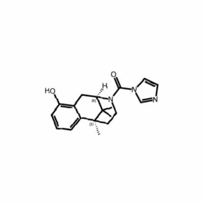 CC1(C)[C@H]2Cc3c(O)cccc3[C@]1(C)CCN2C(=O)n1ccnc1